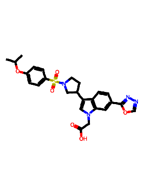 CC(C)Oc1ccc(S(=O)(=O)N2CCC(c3cn(CC(=O)O)c4cc(-c5nnco5)ccc34)C2)cc1